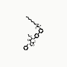 CCCCCCCNC(=O)N(C)c1cccc(-c2ccc(C[C@H](OCC)C(=O)N3C(=O)OC[C@@H]3Cc3ccccc3)cc2)c1